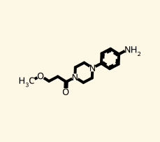 COCCC(=O)N1CCN(c2ccc(N)cc2)CC1